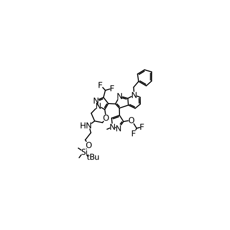 Cn1cc(-c2c3cccn(Cc4ccccc4)c-3nc2-c2c(C(F)F)nn3c2OCC(NCCO[Si](C)(C)C(C)(C)C)C3)c(OC(F)F)n1